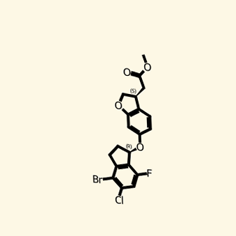 COC(=O)C[C@@H]1COc2cc(O[C@@H]3CCc4c(Br)c(Cl)cc(F)c43)ccc21